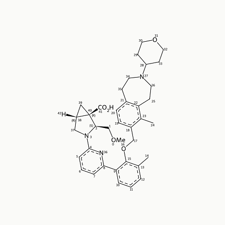 COC[C@H]1N(c2cccc(-c3cccc(C)c3OCc3ccc4c(c3C)CCN(C3CCOCC3)CC4)n2)C[C@@H]2C[C@@]21C(=O)O